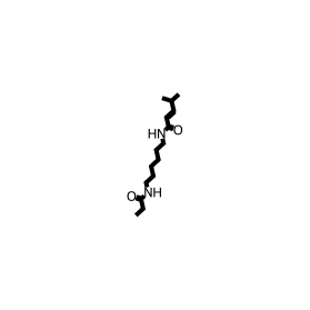 CCC(=O)NCCCCCCNC(=O)/C=C/C(C)C